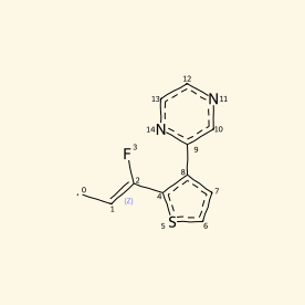 [CH2]/C=C(\F)c1sccc1-c1cnccn1